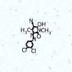 Cc1c(C#N)c(O)n(C)c(=O)c1N=Nc1ccc(Cl)c(Cl)c1